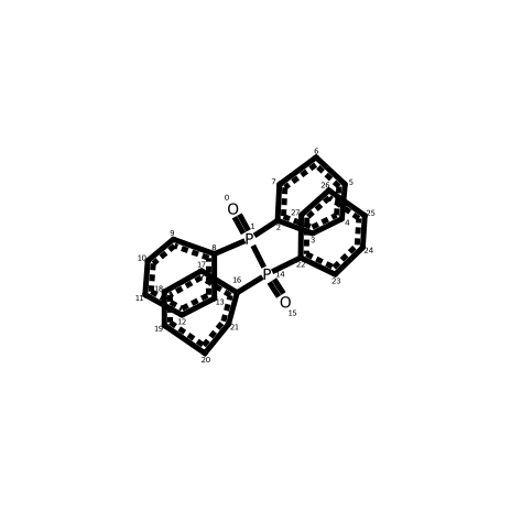 O=P(c1ccccc1)(c1ccccc1)P(=O)(c1ccccc1)c1ccccc1